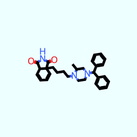 CC1CN(C(c2ccccc2)c2ccccc2)CCN1CCCCC12C=CC=CC1C(=O)NC2=O